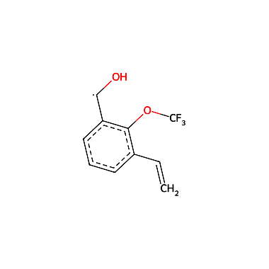 C=Cc1cccc([CH]O)c1OC(F)(F)F